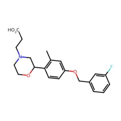 Cc1cc(OCc2cccc(F)c2)ccc1C1CN(CCC(=O)O)CCO1